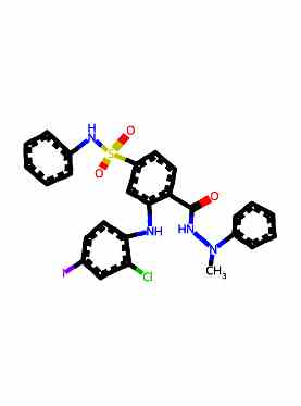 CN(NC(=O)c1ccc(S(=O)(=O)Nc2ccccc2)cc1Nc1ccc(I)cc1Cl)c1ccccc1